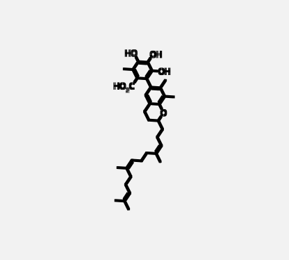 CC(C)=CCCC(C)=CCCC(C)=CCCC1CCc2cc(-c3c(O)c(O)c(O)c(C)c3C(=O)O)c(C)c(C)c2O1